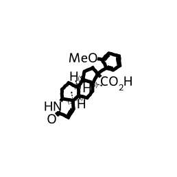 COc1ccccc1C1(C(=O)O)CC[C@H]2[C@@H]3CCC4NC(=O)C=C[C@]4(C)[C@@H]3CC[C@@]21C